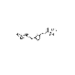 CC(=N)NCCCc1ccc(CCNC(C)=N)s1